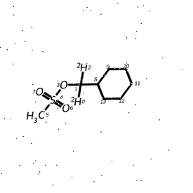 [2H]C([2H])(OS(C)(=O)=O)C1CCCCC1